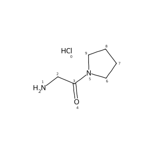 Cl.NCC(=O)N1CCCC1